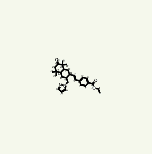 CCOC(=O)c1ccc(/C=C/C2CC3C(CC2Cn2cccn2)C(C)(C)CC(=O)C3(C)C)cc1